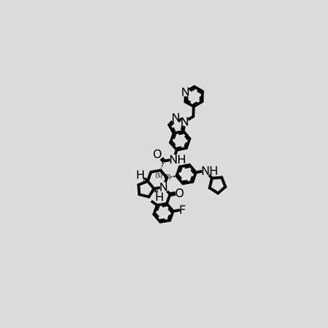 Cc1cccc(F)c1C(=O)N1[C@@H]2CCC[C@@H]2C[C@H](C(=O)Nc2ccc3c(cnn3Cc3cccnc3)c2)[C@@H]1c1ccc(NC2CCCC2)cc1